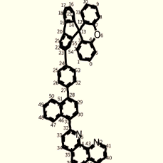 c1ccc2c(c1)Oc1ccccc1C21c2ccccc2-c2ccc(-c3ccc(-c4ccc(-c5ccc6ccc7cccnc7c6n5)c5ccccc45)cc3)cc21